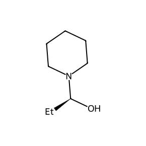 CC[C@H](O)N1CCCCC1